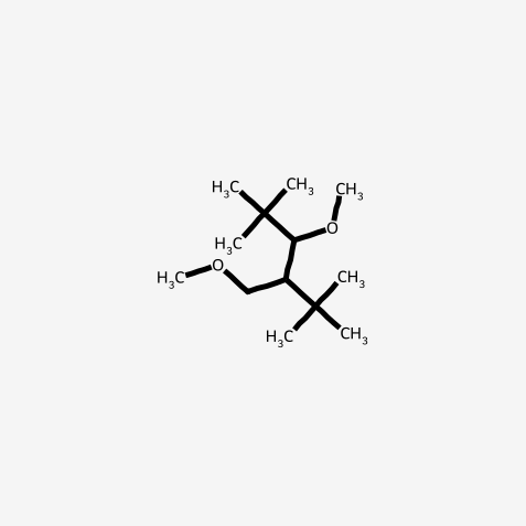 COCC(C(OC)C(C)(C)C)C(C)(C)C